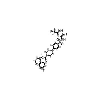 C[C@H](C(=O)N1CCN(c2ccc(S(=O)(=O)NC(=N)SC(=N)C(F)(F)F)cc2)CC1)N1CCCc2cc(F)ccc21